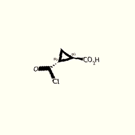 O=C(O)[C@@H]1C[C@H]1C(=O)Cl